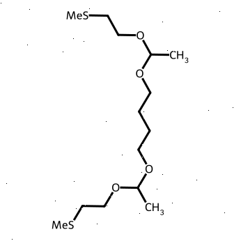 CSCCOC(C)OCCCCOC(C)OCCSC